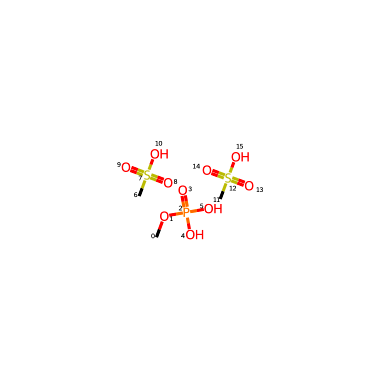 COP(=O)(O)O.CS(=O)(=O)O.CS(=O)(=O)O